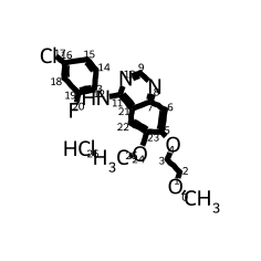 COCCOc1cc2ncnc(Nc3ccc(Cl)cc3F)c2cc1OC.Cl